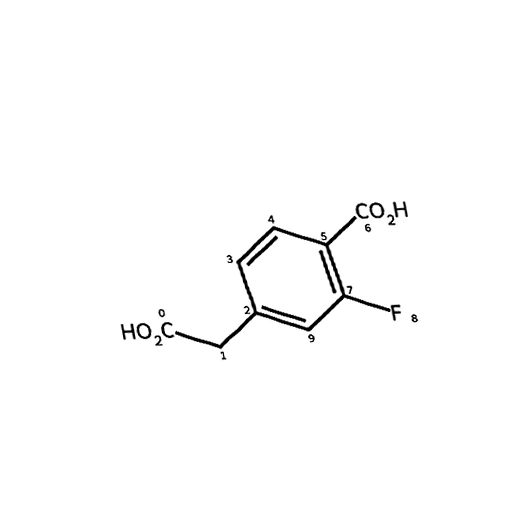 O=C(O)Cc1ccc(C(=O)O)c(F)c1